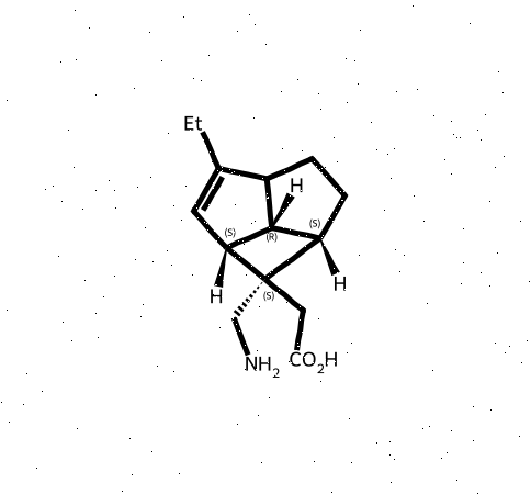 CCC1=C[C@@H]2[C@@H]3C1CC[C@@H]3[C@@]2(CN)CC(=O)O